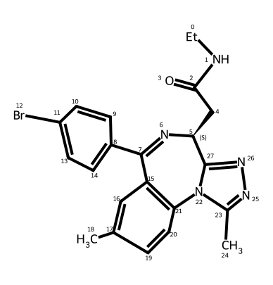 CCNC(=O)C[C@@H]1N=C(c2ccc(Br)cc2)c2cc(C)ccc2-n2c(C)nnc21